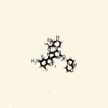 CC[C@@H]1NCCN2c3nc(OC[C@@H]4CC[C@H]5COCCN54)nc4c(F)c(-c5c(F)c(N)cc(C)c5C(F)(F)F)nc(c34)O[C@@H](C)[C@H]12